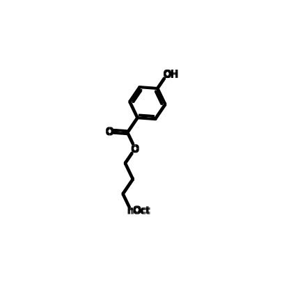 CCCCCCCCCCCOC(=O)c1ccc(O)cc1